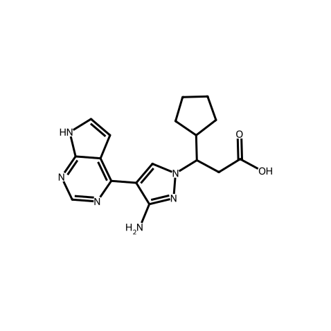 Nc1nn(C(CC(=O)O)C2CCCC2)cc1-c1ncnc2[nH]ccc12